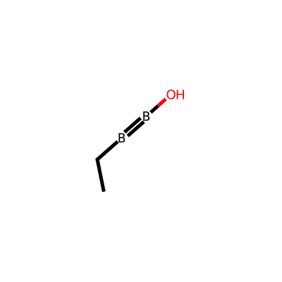 CCB=BO